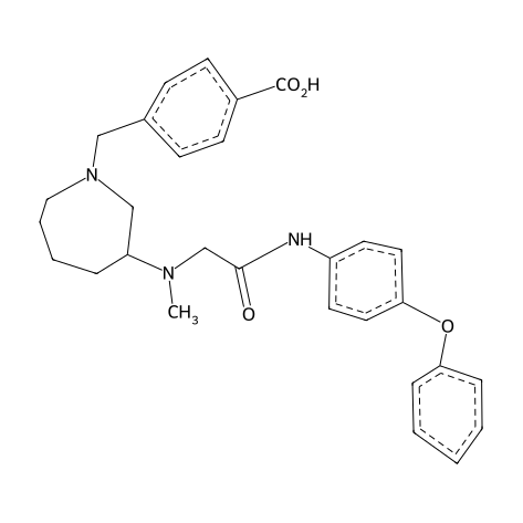 CN(CC(=O)Nc1ccc(Oc2ccccc2)cc1)C1CCCCN(Cc2ccc(C(=O)O)cc2)C1